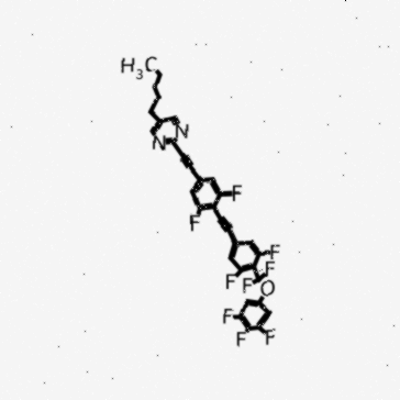 CCCCCc1cnc(C#Cc2cc(F)c(C#Cc3cc(F)c(C(F)(F)Oc4cc(F)c(F)c(F)c4)c(F)c3)c(F)c2)nc1